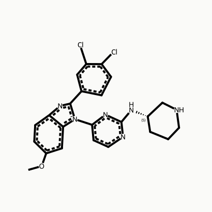 COc1ccc2nc(-c3ccc(Cl)c(Cl)c3)n(-c3ccnc(N[C@H]4CCCNC4)n3)c2c1